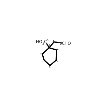 O=CCC1(C(=O)O)CCCCC1